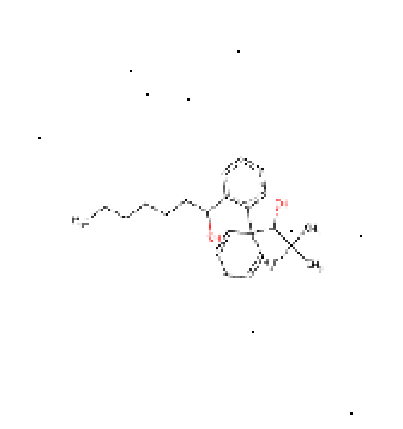 CCCCCCC(O)c1ccccc1C1(C(O)C(C)(C)C)C=C[CH]C=C1